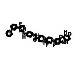 O=C1CCC(Nc2ccc(N3CCC(N4CCC(C(=O)N[C@H]5CC[C@H](Nc6ncc(F)c(-c7cccc(N8CCCCC8)c7)n6)CC5)CC4)C(F)(F)C3)c(F)c2)C(=O)N1